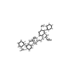 CC(C)c1ccccc1-c1cccc2c1C=C(C(C)(C)C)C2C[SiH2]CC1C(C(C)(C)C)=Cc2c(-c3ccccc3C(C)C)cccc21